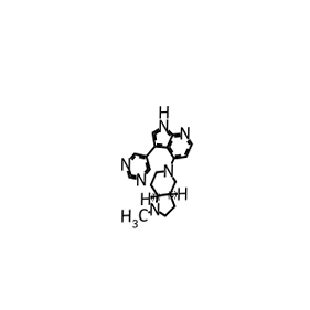 CN1CC[C@H]2CN(c3ccnc4[nH]cc(-c5cncnc5)c34)CC[C@H]21